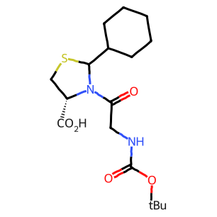 CC(C)(C)OC(=O)NCC(=O)N1C(C2CCCCC2)SC[C@H]1C(=O)O